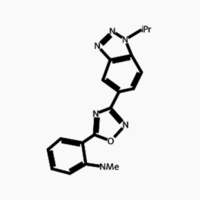 CNc1ccccc1-c1nc(-c2ccc3c(c2)nnn3C(C)C)no1